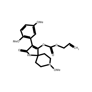 C=CCOC(=O)OC1=C(c2cc(OC)ccc2OC)C(=O)NC12CCN(OC)CC2